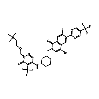 C[Si](C)(C)CCOCn1ncc(N[C@H]2CCC[C@@H](Cn3cc(Br)c4cc(-c5ncc(C(F)(F)F)cn5)c(F)cc4c3=O)C2)c(C(F)(F)F)c1=O